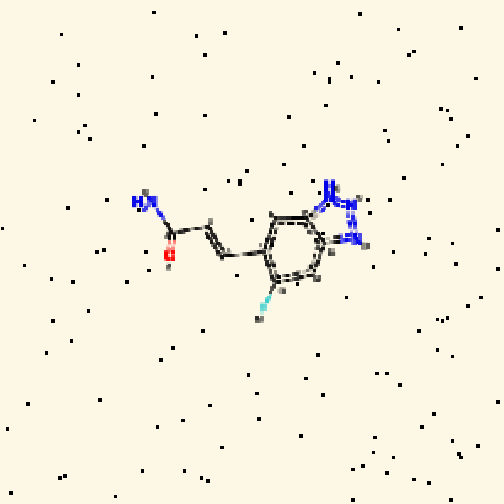 NC(=O)C=Cc1cc2[nH]nnc2cc1F